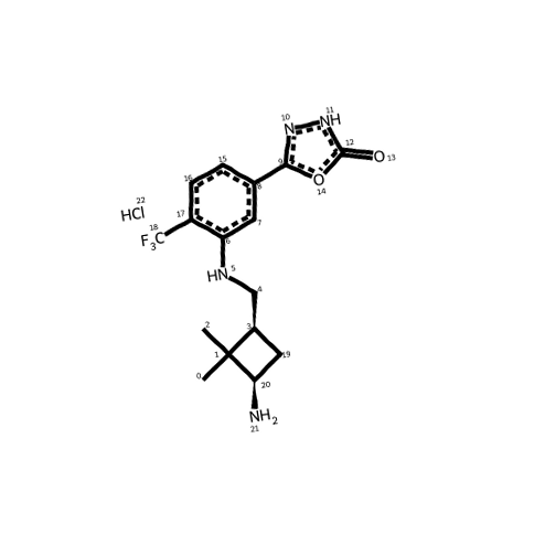 CC1(C)[C@@H](CNc2cc(-c3n[nH]c(=O)o3)ccc2C(F)(F)F)C[C@H]1N.Cl